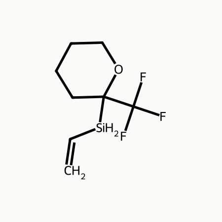 C=C[SiH2]C1(C(F)(F)F)CCCCO1